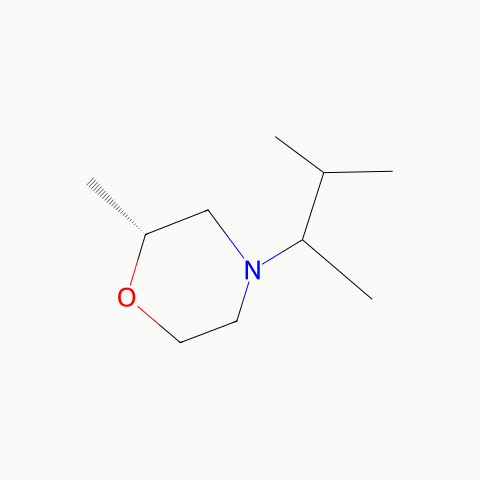 CC(C)C(C)N1CCO[C@H](C)C1